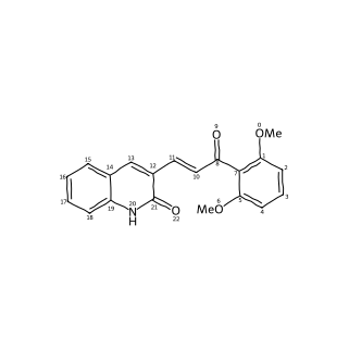 COc1cccc(OC)c1C(=O)C=Cc1cc2ccccc2[nH]c1=O